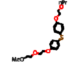 CCCOCCOc1ccc(Sc2ccc(OCCOCCOC)cc2)cc1